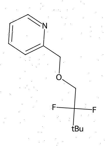 CC(C)(C)C(F)(F)COCc1ccccn1